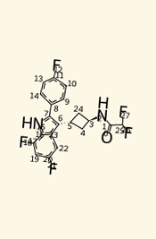 O=C(N[C@H]1C[C@H](c2c(-c3ccc(F)cc3)[nH]c3c(F)cc(F)cc32)C1)C(F)F